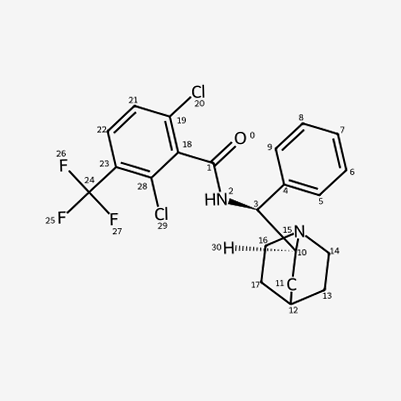 O=C(N[C@@H](c1ccccc1)[C@@H]1CC2CCN1CC2)c1c(Cl)ccc(C(F)(F)F)c1Cl